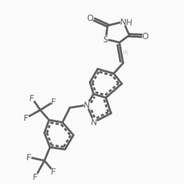 O=C1NC(=O)/C(=C/c2ccc3c(cnn3Cc3ccc(C(F)(F)F)cc3C(F)(F)F)c2)S1